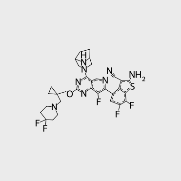 N#Cc1c(N)sc2c(F)c(F)cc(-c3ncc4c(N5CC6CCC(C5)N6)nc(OCC5(CN6CCC(F)(F)CC6)CC5)nc4c3F)c12